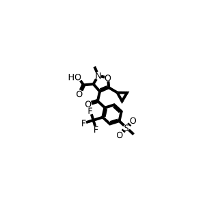 CN1OC(C2CC2)=C(C(=O)c2ccc(S(C)(=O)=O)cc2C(F)(F)F)C1C(=O)O